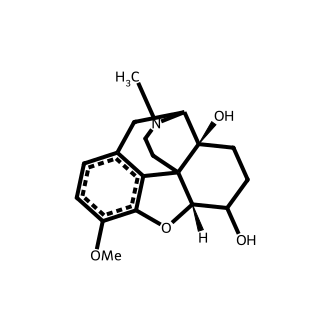 COc1ccc2c3c1O[C@H]1C(O)CC[C@@]4(O)C(C2)N(C)CCC314